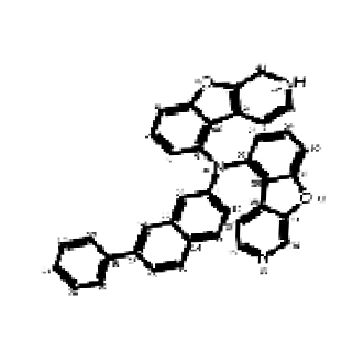 C1=Cc2c(oc3cccc(N(c4ccc5ccc(-c6ccccc6)cc5c4)c4cccc5oc6cnccc6c45)c23)CN1